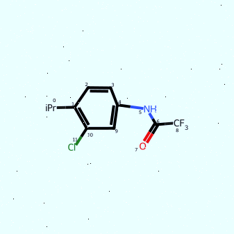 CC(C)c1ccc(NC(=O)C(F)(F)F)cc1Cl